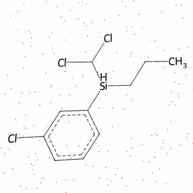 CCC[SiH](c1cccc(Cl)c1)C(Cl)Cl